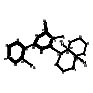 Cn1c(N2CCO[C@H]3CCCC[C@@H]32)nc(-c2ccncc2F)cc1=O